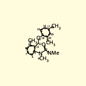 CNC(=O)N(C)c1cccc(C)c1COc1ccc(C)cc1C